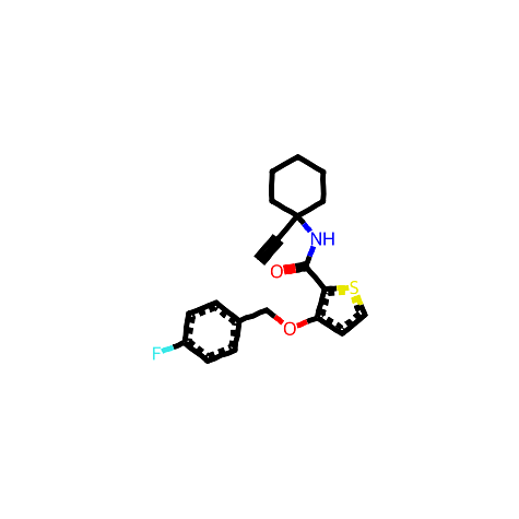 C#CC1(NC(=O)c2sccc2OCc2ccc(F)cc2)CCCCC1